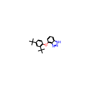 CC(C)(C)c1ccc(Oc2cccc3[nH]nnc23)c(C(C)(C)C)c1